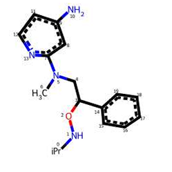 CC(C)NOC(CN(C)c1cc(N)ccn1)c1ccccc1